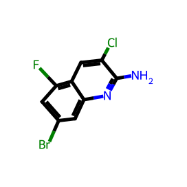 Nc1nc2cc(Br)cc(F)c2cc1Cl